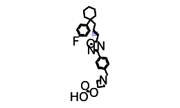 O=C(O)OC1CN(Cc2ccc(-c3noc(/C=C/CC4(c5ccc(F)cc5)CCCCC4)n3)cc2)C1